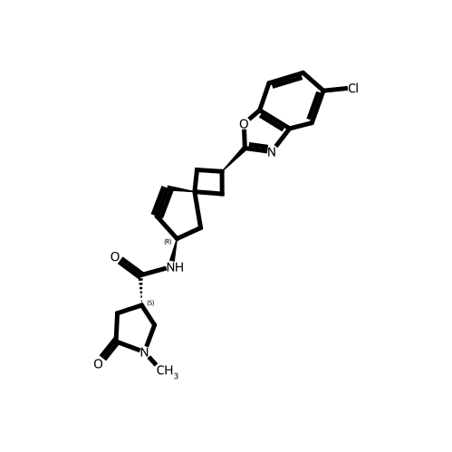 CN1C[C@@H](C(=O)N[C@H]2C#C[C@]3(C2)C[C@H](c2nc4cc(Cl)ccc4o2)C3)CC1=O